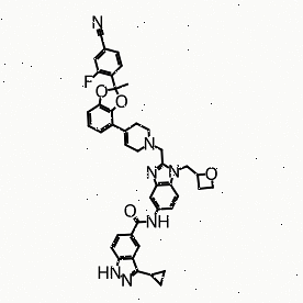 CC1(c2ccc(C#N)cc2F)Oc2cccc(C3=CCN(Cc4nc5cc(NC(=O)c6ccc7[nH]nc(C8CC8)c7c6)ccc5n4CC4CCO4)CC3)c2O1